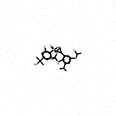 CC(C)c1cc(OC(F)F)cc(C2CC2)c1NC(=O)N=S(N)(=O)c1ccc(C(C)(C)O)cc1F